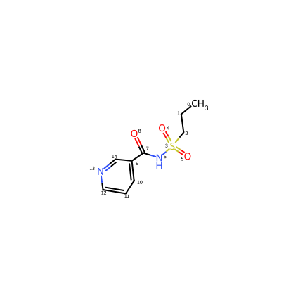 CCCS(=O)(=O)NC(=O)c1cccnc1